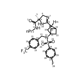 CCCNC(=O)[C@@]1(C)CN=C([C@H]2CC3(N(Cc4ccc(C(F)(F)F)cc4)S(=O)(=O)c4ccc(F)cc4)CC2C3)N1